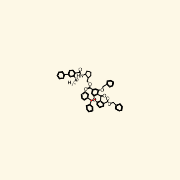 COc1cc(-c2ccccc2)ccc1C(=O)NC1CCCC1COC(=O)c1cc(OCc2ccccc2)c(C(=O)c2c(OCc3ccccc3)cccc2C(=O)OCc2ccccc2)c(OCc2ccccc2)c1